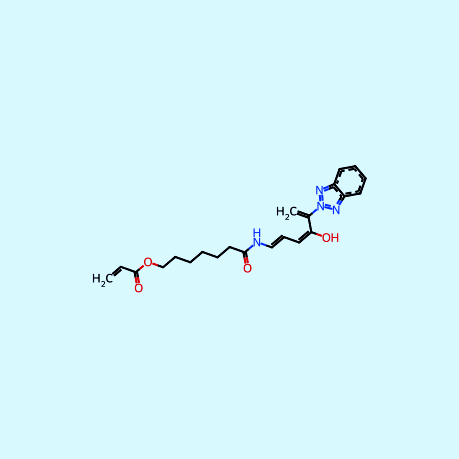 C=CC(=O)OCCCCCCC(=O)N/C=C/C=C(/O)C(=C)n1nc2ccccc2n1